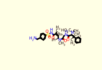 CC(=C[C@H](C(C)C)N(C)C(=O)[C@@H](NC(=O)[C@@H](N(C)C(=O)O)C(C)(C)c1ccccc1)C(C)(C)C)C(=O)NS(=O)(=O)c1ccc(CN)cc1